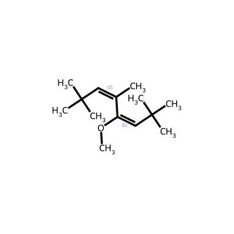 COC(=C/C(C)(C)C)/C(C)=C\C(C)(C)C